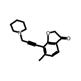 Cc1ccc2c(c1C#CCN1CCCCC1)OCC2=O